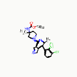 Cc1nc(N2CCC(C)(NC(=O)OC(C)(C)C)CC2)c2c(c1-c1cccc(Cl)c1Cl)CN=C2